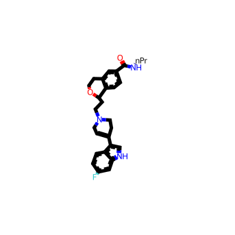 CCCNC(=O)c1ccc2c(c1)CCOC2CCN1CC=C(c2c[nH]c3cc(F)ccc23)CC1